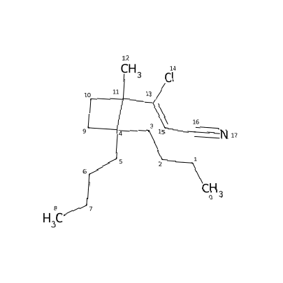 CCCCC1(CCCC)CCC1(C)/C(Cl)=C/C#N